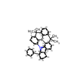 CC1(C)c2cccc3c2B2c4c1cccc4C(C)(C)c1ccc4c5cccc(-c6ccccc6)c5n-3c4c12